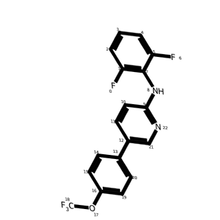 Fc1cccc(F)c1Nc1ccc(-c2ccc(OC(F)(F)F)cc2)cn1